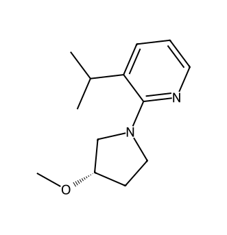 CO[C@H]1CCN(c2ncccc2C(C)C)C1